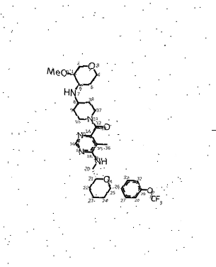 CO[C@H]1COCC[C@H]1NC1CCN(C(=O)c2ncnc(NC[C@H]3CCC[C@@H](c4ccc(OC(F)(F)F)cc4)O3)c2C)CC1